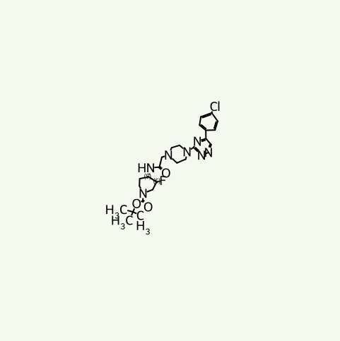 CC(C)(C)OC(=O)N1CC[C@H](NC(=O)CN2CCN(c3nncc(-c4ccc(Cl)cc4)n3)CC2)[C@@H](F)C1